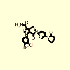 CCCc1ccc(-n2nc(C(N)=O)c3c2C(=O)N(c2ccc(N4CCCCC4=O)cc2)CC3)cc1Cl